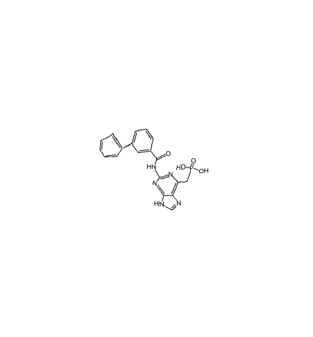 O=C(Nc1nc(CP(=O)(O)O)c2nc[nH]c2n1)c1cccc(-c2ccccc2)c1